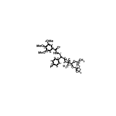 COc1cc(C(=O)NCC(CCC(C)(C)C(O[SiH2]C)O[SiH2]C)c2ccc(F)cc2)cc(OC)c1OC